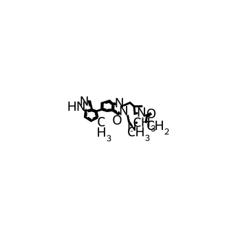 C=CC(=O)N1CC(Cc2nc3ccc(-c4c(C)ccc5[nH]ncc45)cc3c(=O)n2CCN(C)C)C1